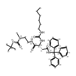 CCCCCCNC(=O)N[C@H](CC(=O)NC(c1ccccc1)(c1ccccc1)c1ccccc1)C(=O)NCCN(C)C(=O)OC(C)(C)C